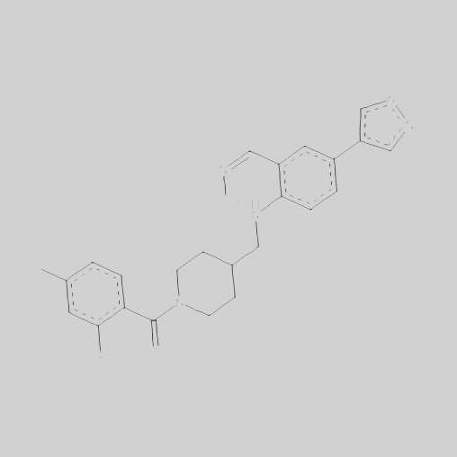 C/N=C\c1cc(-c2cn[nH]c2)ccc1NCC1CCN(C(=O)c2ccc(F)cc2F)CC1